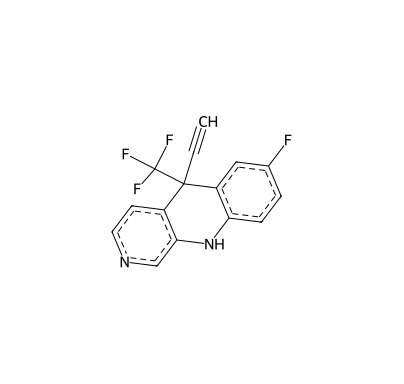 C#CC1(C(F)(F)F)c2ccncc2Nc2ccc(F)cc21